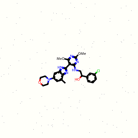 COc1nc(NCC(O)c2cccc(Cl)c2)c(-c2nc3c(C)cc(N4CCOCC4)cc3[nH]2)c(OC)n1